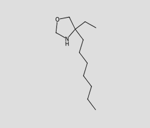 CCCCCCCC1(CC)COCN1